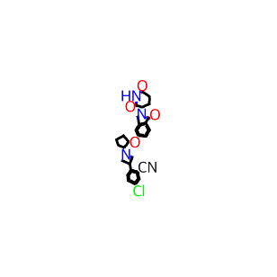 N#Cc1cc(Cl)ccc1C1CN(C2CCCC2Oc2ccc3c(c2)CN(C2CCC(=O)NC2=O)C3=O)C1